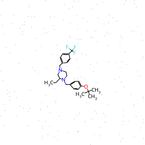 CCC1CN(Cc2ccc(C(F)(F)F)cc2)CCN1Cc1ccc(OC(C)(C)C)cc1